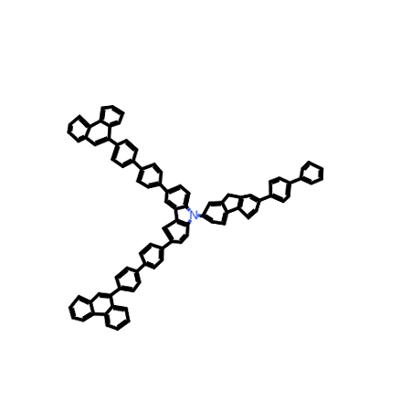 c1ccc(-c2ccc(-c3ccc4c(c3)Cc3cc(-n5c6ccc(-c7ccc(-c8ccc(-c9cc%10ccccc%10c%10ccccc9%10)cc8)cc7)cc6c6cc(-c7ccc(-c8ccc(-c9cc%10ccccc%10c%10ccccc9%10)cc8)cc7)ccc65)ccc3-4)cc2)cc1